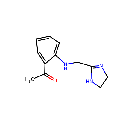 CC(=O)c1ccccc1NCC1=NCCN1